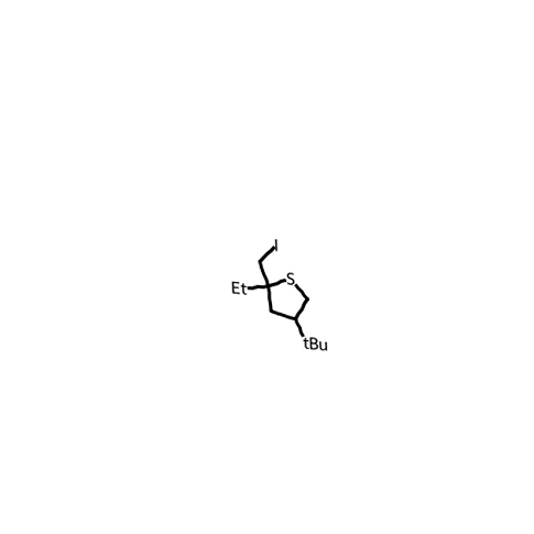 CCC1(CI)CC(C(C)(C)C)CS1